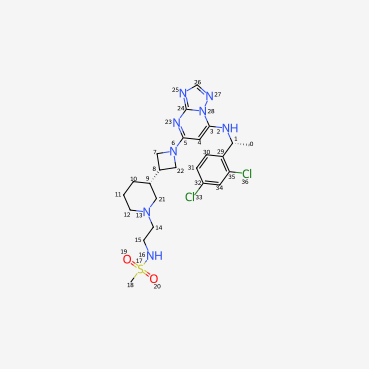 C[C@@H](Nc1cc(N2CC([C@H]3CCCN(CCNS(C)(=O)=O)C3)C2)nc2ncnn12)c1ccc(Cl)cc1Cl